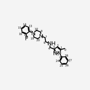 Cc1cc(CNCCN2CCN(c3ccccc3F)CC2)nn1-c1ccccc1